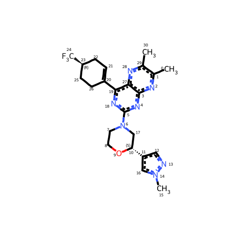 Cc1nc2nc(N3CCO[C@@H](c4cnn(C)c4)C3)nc(C3=CC[C@H](C(F)(F)F)CC3)c2nc1C